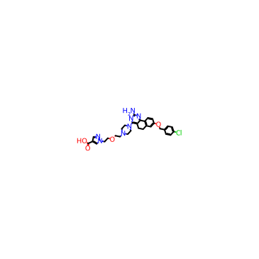 Nc1nc2c(c(N3CCN(CCOCCn4cc(C(=O)O)cn4)CC3)n1)CCc1cc(OCc3ccc(Cl)cc3)ccc1-2